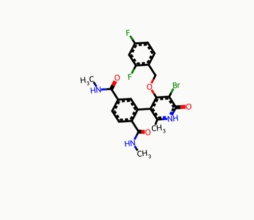 CNC(=O)c1ccc(C(=O)NC)c(-c2c(C)[nH]c(=O)c(Br)c2OCc2ccc(F)cc2F)c1